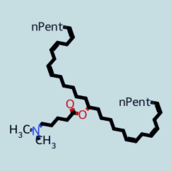 CCCCC/C=C\C/C=C\C/C=C\CCCCCC(CCCCC/C=C\C/C=C\C/C=C\CCCCC)OC(=O)CCCCN(C)C